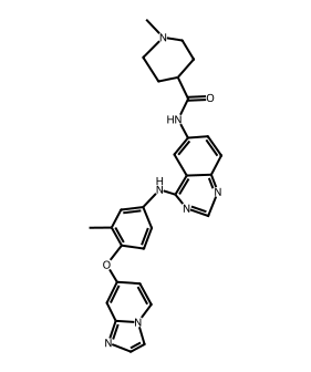 Cc1cc(Nc2ncnc3ccc(NC(=O)C4CCN(C)CC4)cc23)ccc1Oc1ccn2ccnc2c1